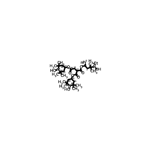 CCCC(CC(C)(C)N(O)CC)OC(=O)C(CC(=O)OC1CC(C)(C)N(O)C(C)(C)C1)C(=O)OC1CC(C)(C)N(O)C(C)(C)C1